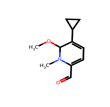 COC1C(C2CC2)=CC=C(C=O)N1C